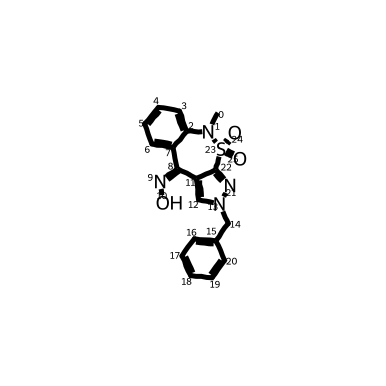 CN1c2ccccc2/C(=N/O)c2cn(Cc3ccccc3)nc2S1(=O)=O